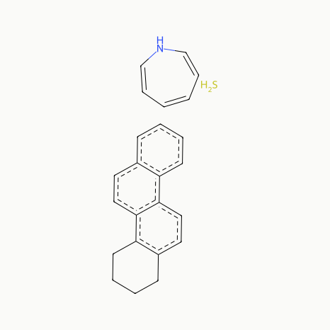 C1=CC=CNC=C1.S.c1ccc2c(c1)ccc1c3c(ccc12)CCCC3